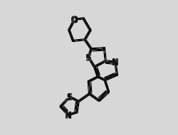 c1ncc(-c2ccc3cnc4cc(C5CCOCC5)sc4c3c2)s1